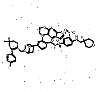 CC1(C)CCC(CN2CC3CCC2CN3c2ccc(C(=O)NS(=O)(=O)c3ccc(NCC4(F)CCOCC4)c([N+](=O)[O-])c3)c(N3CCOc4nc5[nH]ccc5cc43)c2)=C(c2ccc(Cl)cc2)C1